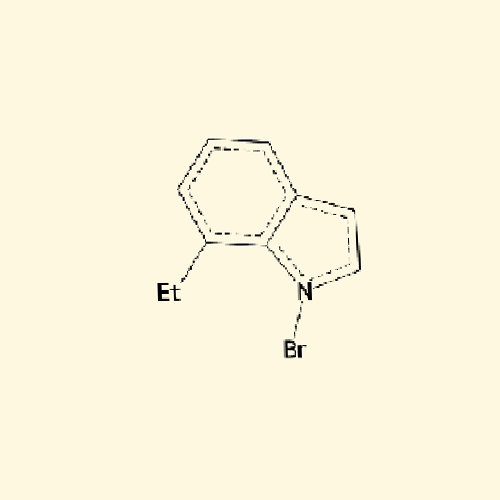 CCc1cccc2ccn(Br)c12